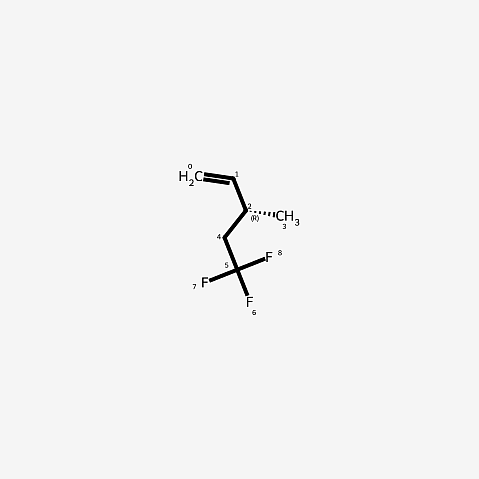 C=C[C@H](C)CC(F)(F)F